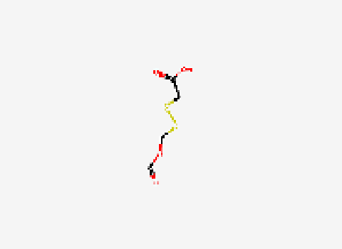 O=COCSSCC(=O)O